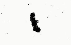 CC(CC(=O)N1CCC(O)(CN2C=CC(c3ccsc3)=NC2)CC1)c1ccccc1